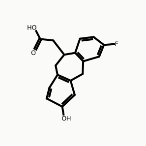 O=C(O)CC1Cc2ccc(O)cc2Cc2cc(F)ccc21